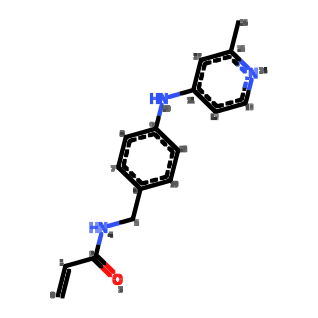 C=CC(=O)NCc1ccc(Nc2ccnc(C)c2)cc1